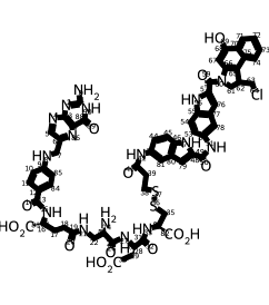 Nc1nc2ncc(CNc3ccc(C(=O)N[C@H](CCC(=O)NC[C@H](N)C(=O)N[C@@H](CC(=O)O)C(=O)N[C@@H](CSSCCC(=O)Nc4ccc5[nH]c(C(=O)Nc6ccc7[nH]c(C(=O)N8CC(CCl)c9c8cc(O)c8ccccc98)cc7c6)cc5c4)C(=O)O)C(=O)O)cc3)nc2c(=O)[nH]1